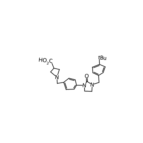 CC(C)(C)c1ccc(CN2CCN(c3ccc(CN4CC(C(=O)O)C4)cc3)C2=O)cc1